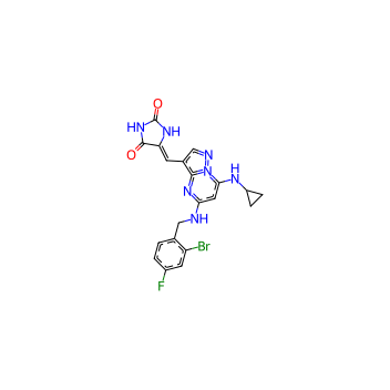 O=C1NC(=O)C(=Cc2cnn3c(NC4CC4)cc(NCc4ccc(F)cc4Br)nc23)N1